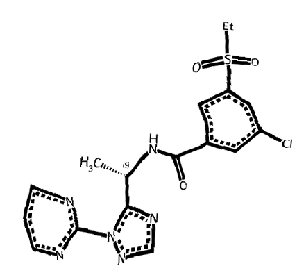 CCS(=O)(=O)c1cc(Cl)cc(C(=O)N[C@@H](C)c2ncnn2-c2ncccn2)c1